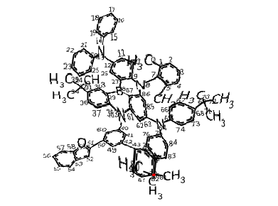 Cc1cccc(C)c1N1c2ccc(N(c3ccccc3)c3ccccc3)cc2B2c3cc(C(C)(C)C)ccc3N(c3cc(-c4ccccc4)cc(-c4cc5ccccc5o4)c3)c3cc(N(c4ccc(C(C)(C)C)cc4)c4ccc(C(C)(C)C)cc4)cc1c32